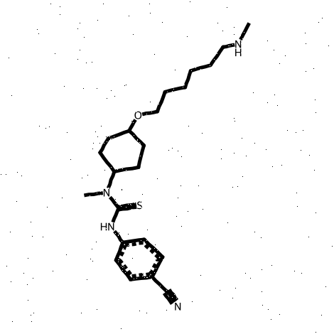 CNCCCCCCOC1CCC(N(C)C(=S)Nc2ccc(C#N)cc2)CC1